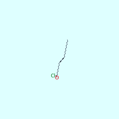 CCCCCCCCCCCCC#CC#CCCCCCCCCC(=O)Cl